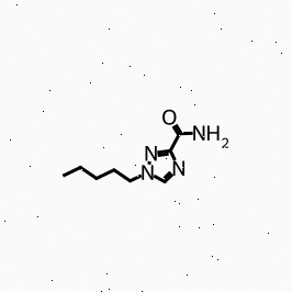 CCCCCn1cnc(C(N)=O)n1